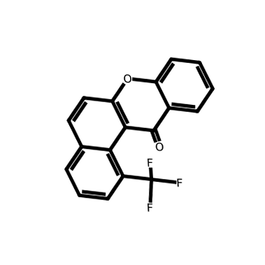 O=c1c2ccccc2oc2ccc3cccc(C(F)(F)F)c3c12